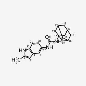 Cc1cc2cc(NC(=O)NC34CC5CC(CC(C5)C3)C4)ccc2[nH]1